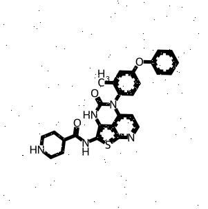 Cc1cc(Oc2ccccc2)ccc1N1C(=O)Nc2c(NC(=O)C3CCNCC3)sc3nccc1c23